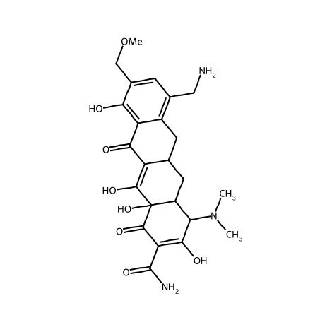 COCc1cc(CN)c2c(c1O)C(=O)C1=C(O)C3(O)C(=O)C(C(N)=O)=C(O)C(N(C)C)C3CC1C2